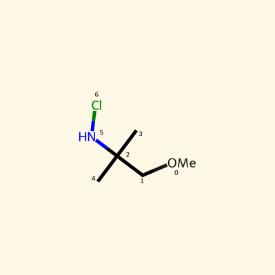 COCC(C)(C)NCl